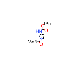 CNC(=O)N1CC[C@H](NC(=O)OC(C)(C)C)C1